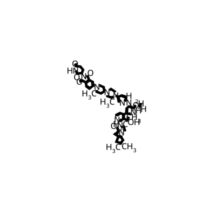 [2H]C([2H])([2H])Oc1ncc(-c2ccnc(N3CCn4c(cc5c4CC(C)(C)C5)C3=O)c2C(C)(C)O)cc1Nc1ccc(N2CCN(C3CCN(c4ccc5c(c4)C(=O)N([C@H]4CCC(=O)NC4=O)C5=O)[C@H](C)C3)C[C@@H]2C)cn1